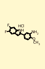 COc1ccc(-c2cc3cc(F)c(F)cc3[nH]2)cc1N.Cl